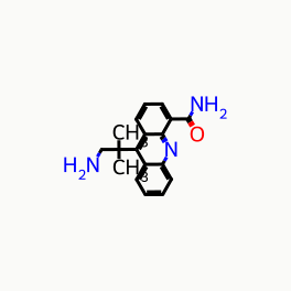 CC(C)(CN)c1c2ccccc2nc2c(C(N)=O)cccc12